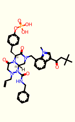 C=CCN1CC(=O)N2[C@@H](Cc3ccc(OP(=O)(O)O)cc3)C(=O)N(Cc3cccc4c(C(=O)CC(C)(C)C)cn(C)c34)C[C@@H]2N1C(=O)NCc1ccccc1